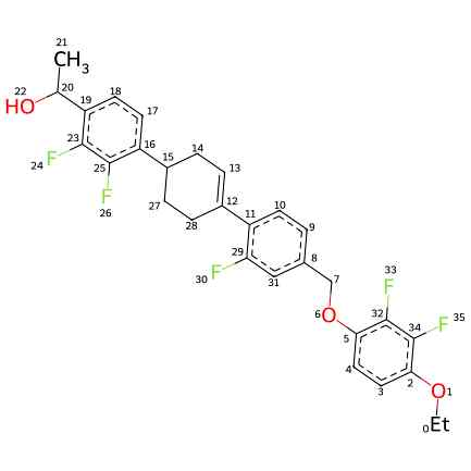 CCOc1ccc(OCc2ccc(C3=CCC(c4ccc(C(C)O)c(F)c4F)CC3)c(F)c2)c(F)c1F